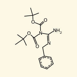 CC(C)(C)OC(=O)N(C(=O)OC(C)(C)C)C(N)=NCc1ccccc1